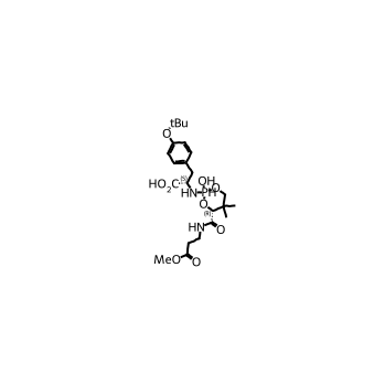 COC(=O)CCNC(=O)[C@@H]1O[PH](O)(N[C@@H](Cc2ccc(OC(C)(C)C)cc2)C(=O)O)OCC1(C)C